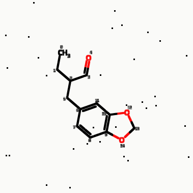 CCC(C=O)Cc1ccc2c(c1)OCO2